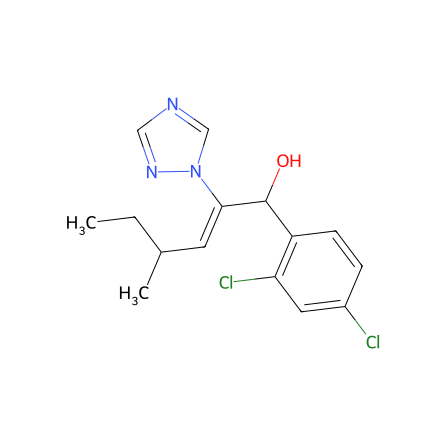 CCC(C)C=C(C(O)c1ccc(Cl)cc1Cl)n1cncn1